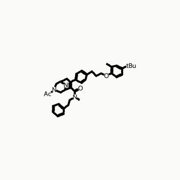 CC(=O)N1CC2CC(c3ccc(CCCOc4ccc(C(C)(C)C)cc4C)cc3)=C(C(=O)N(C)CCc3ccccc3)C(C1)N2